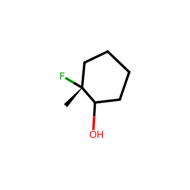 C[C@@]1(F)CCCCC1O